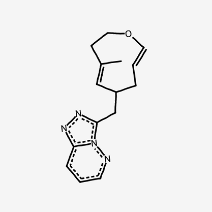 C/C1=C\C(Cc2nnc3cccnn23)C/C=C/OCC1